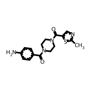 Cc1ncc(C(=O)N2CCN(C(=O)c3ccc(N)cc3)CC2)s1